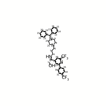 OC[C@H](NCCCN1CCN(C(c2ccccc2)c2ccccc2)CC1)c1cc(-c2ccc(C(F)(F)F)cc2)nc(C(F)(F)F)c1